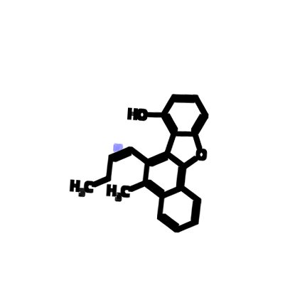 CC/C=C\c1c(C)c2ccccc2c2oc3cccc(O)c3c12